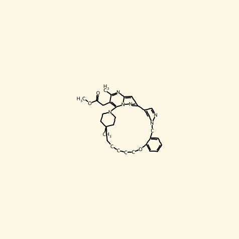 COC(=O)Cc1c(C)nc2cc3nn2c1N1CCC(C)(CCCCCOc2ccccc2Cn2cc-3cn2)CC1